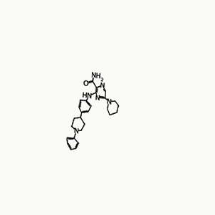 NC(=O)c1ncc(N2CCCCC2)nc1Nc1ccc(C2CCN(c3ccccc3)CC2)cc1